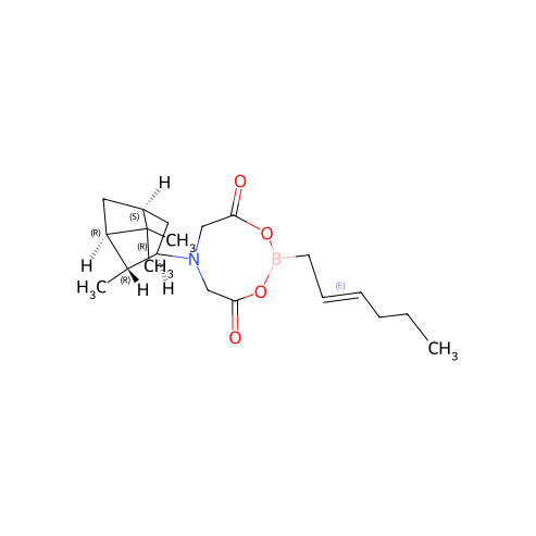 CCC/C=C/CB1OC(=O)CN([C@@H]2C[C@@H]3C[C@H]([C@H]2C)C3(C)C)CC(=O)O1